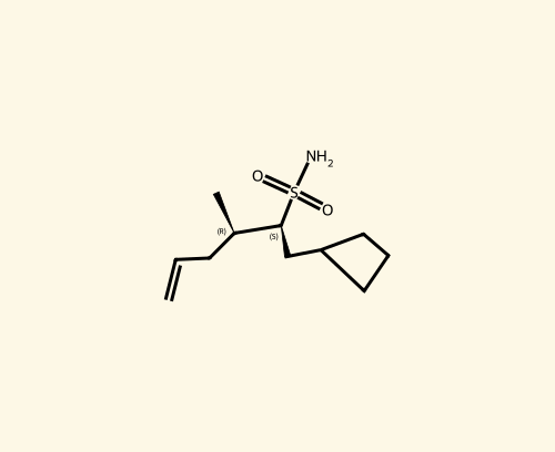 C=CC[C@@H](C)[C@H](CC1CCC1)S(N)(=O)=O